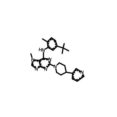 Cc1ccc(C(C)(C)C)cc1Nc1nc(N2CCC(c3cccnc3)CC2)nc2ncn(C)c12